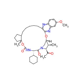 COc1ccc2nc3c(nc2c1)O[C@H]1CN(C(=O)[C@H](C2CCCCC2)NC(=O)O[C@]2(C)CCCC2CCCCC3)[C@H](C(C)=O)[C@@H]1C